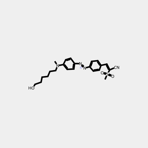 CN(CCCCCCO)c1ccc(/N=N/c2ccc(C=C(C#N)S(C)(=O)=O)cc2)cc1